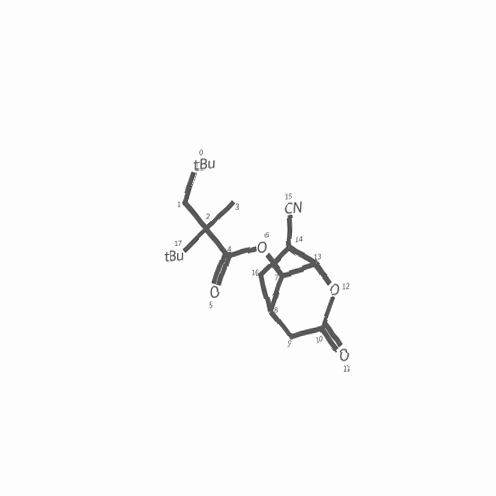 CC(C)(C)CC(C)(C(=O)OC1C2CC(=O)OC1C(C#N)C2)C(C)(C)C